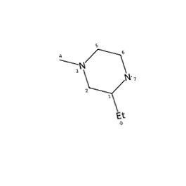 CCC1CN(C)CC[N]1